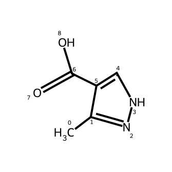 Cc1n[nH][c]c1C(=O)O